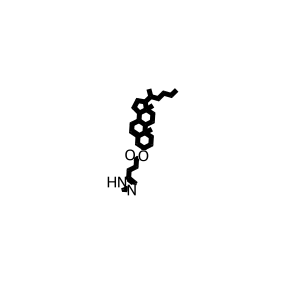 CCCCC(C)C1CCC2C3CC=C4CC(OC(=O)CCc5cnc[nH]5)CCC4(C)C3CCC12C